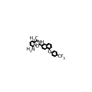 C[C@H](NC(=O)c1ccc2c(Oc3ccc(C(F)(F)F)cc3)cccc2c1)c1cccc(N)n1